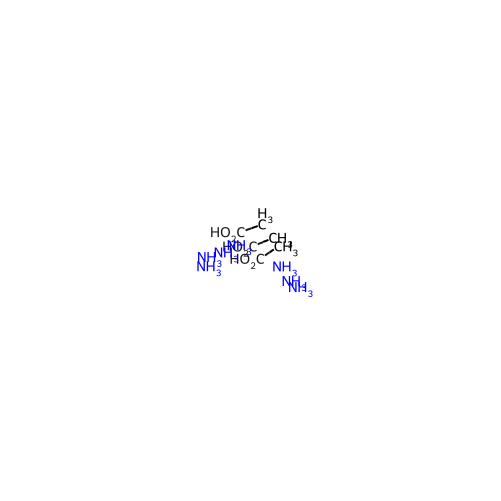 CC(=O)O.CC(=O)O.CC(=O)O.N.N.N.N.N.N.N